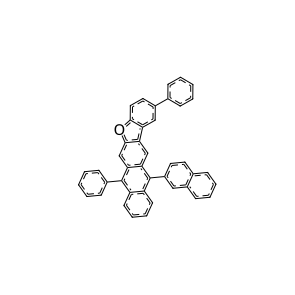 c1ccc(-c2ccc3oc4cc5c(-c6ccccc6)c6ccccc6c(-c6ccc7ccccc7c6)c5cc4c3c2)cc1